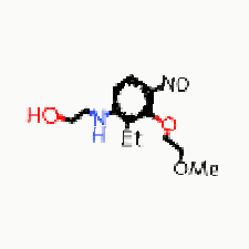 CCc1c(NCCO)ccc(N=O)c1OCCOC